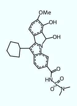 COc1ccc2c(c1O)C(O)n1c-2c(C2CCCCC2)c2ccc(C(=O)NS(=O)(=O)N(C)C)cc21